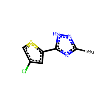 CCCCc1n[nH]c(-c2cc(Cl)cs2)n1